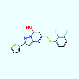 Oc1cc(CSc2cccc(F)c2F)nc2cc(-c3cccs3)nn12